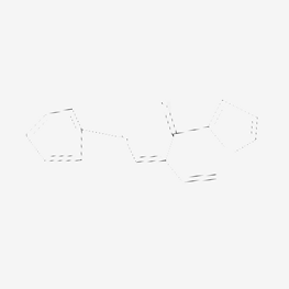 C=C/C(=C/Nc1ccccc1)C(=N)c1cccs1